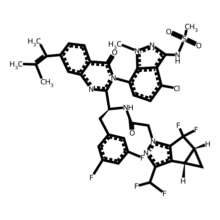 CC(C)=C(C)c1ccc2c(=O)n(-c3ccc(Cl)c4c(NS(C)(=O)=O)nn(C)c34)c([C@H](Cc3cc(F)cc(F)c3)NC(=O)Cn3nc(C(F)F)c4c3C(F)(F)[C@@H]3C[C@H]43)nc2c1